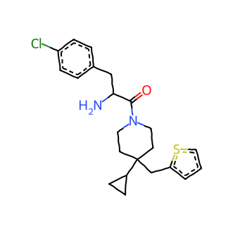 NC(Cc1ccc(Cl)cc1)C(=O)N1CCC(Cc2cccs2)(C2CC2)CC1